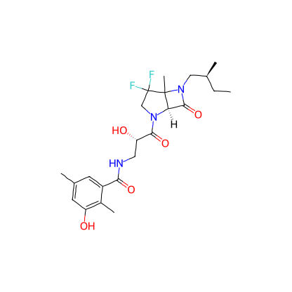 CC[C@H](C)CN1C(=O)[C@H]2N(C(=O)[C@@H](O)CNC(=O)c3cc(C)cc(O)c3C)CC(F)(F)C21C